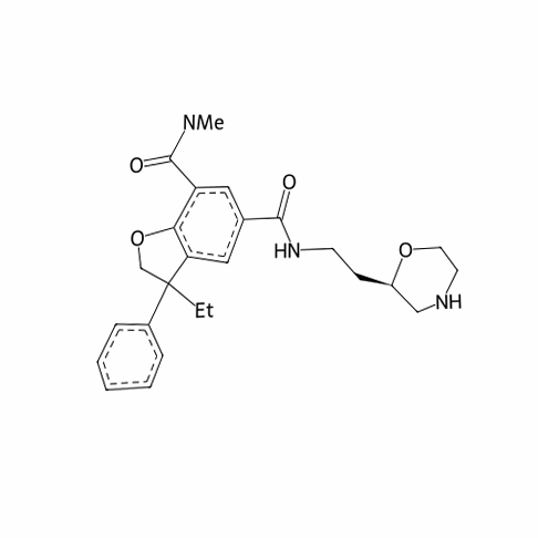 CCC1(c2ccccc2)COc2c(C(=O)NC)cc(C(=O)NCC[C@@H]3CNCCO3)cc21